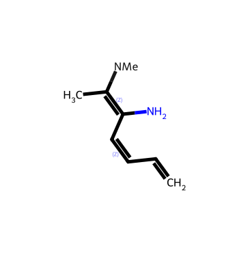 C=C/C=C\C(N)=C(/C)NC